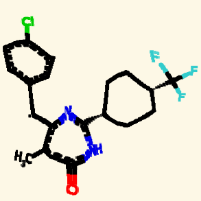 Cc1c([CH]c2ccc(Cl)cc2)nc([C@H]2CC[C@@H](C(F)(F)F)CC2)[nH]c1=O